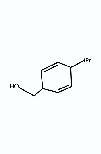 CC(C)C1C=CC(CO)C=C1